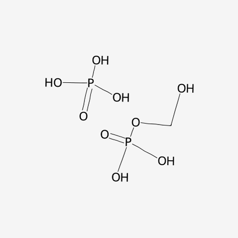 O=P(O)(O)O.O=P(O)(O)OCO